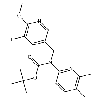 COc1ncc(CN(C(=O)OC(C)(C)C)c2ccc(I)c(C)n2)cc1F